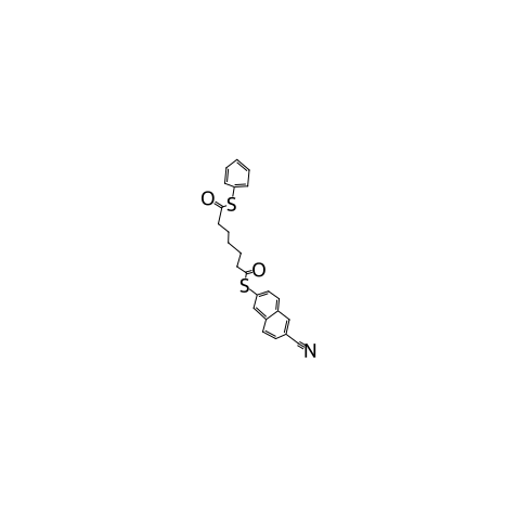 N#Cc1ccc2cc(SC(=O)CCCCCC(=O)Sc3ccccc3)ccc2c1